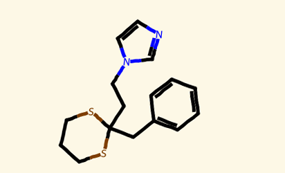 c1ccc(CC2(CCn3ccnc3)SCCCS2)cc1